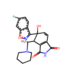 CC(C1C2=C(C=CC1(O)c1noc3cc(F)ccc13)C(=O)NC2=O)N1CCCCC1